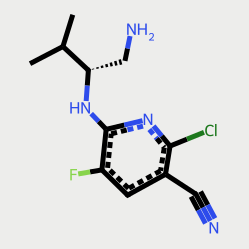 CC(C)[C@H](CN)Nc1nc(Cl)c(C#N)cc1F